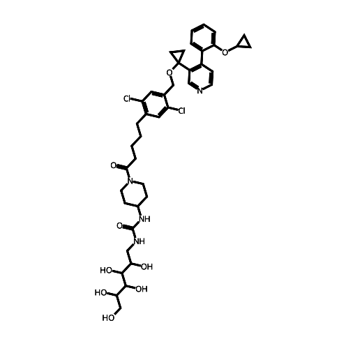 O=C(NCC(O)C(O)C(O)C(O)CO)NC1CCN(C(=O)CCCCc2cc(Cl)c(COC3(c4cnccc4-c4ccccc4OC4CC4)CC3)cc2Cl)CC1